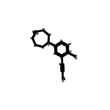 CCC#Cc1cc(N2CCCNCC2)cnc1Br